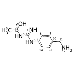 CB(O)NC(=N)Nc1ccc(CN)cc1